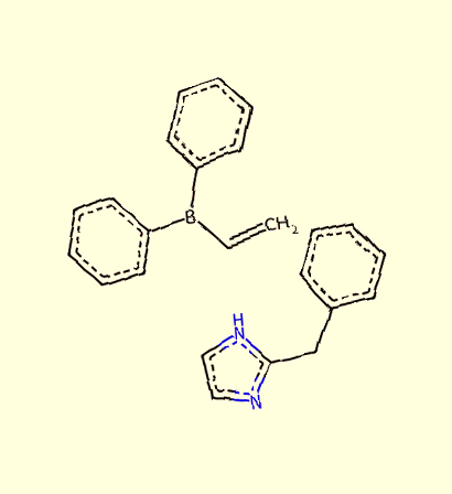 C=CB(c1ccccc1)c1ccccc1.c1ccc(Cc2ncc[nH]2)cc1